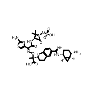 CC(O/N=C(\C(=O)N[C@@H]1C(=O)N(OS(=O)(=O)O)C1(C)C)c1csc(N)n1)(C(=O)O)[C@H]1CCc2cc(C(=N)N[C@@H]3CC[C@H](N)[C@H]4C[C@H]43)ccc2O1